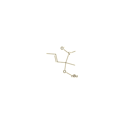 CC=CC(C)(OCCCC)[S+](C)[O-]